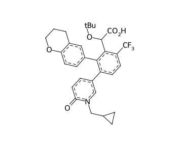 CC(C)(C)OC(C(=O)O)c1c(C(F)(F)F)ccc(-c2ccc(=O)n(CC3CC3)c2)c1-c1ccc2c(c1)CCCO2